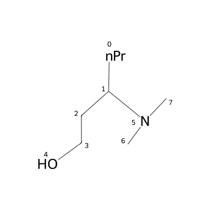 CCCC(CCO)N(C)C